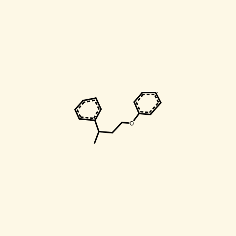 CC(CCOc1cc[c]cc1)c1ccccc1